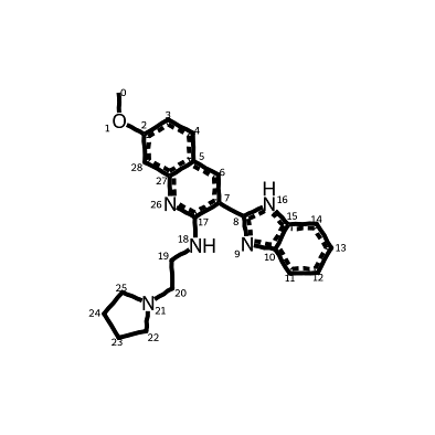 COc1ccc2cc(-c3nc4ccccc4[nH]3)c(NCCN3CCCC3)nc2c1